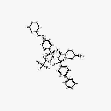 NC1CCN(C(=O)[C@@H](N(OC(=O)C(F)(F)F)S(=O)(=O)c2ccc(OCC3CCCCC3)cc2)C(F)(F)c2ccc(-c3ccccc3)cc2)CC1